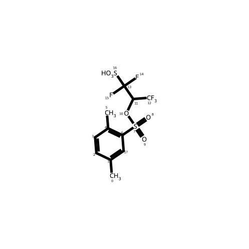 Cc1ccc(C)c(S(=O)(=O)OC(C(F)(F)F)C(F)(F)S(=O)(=O)O)c1